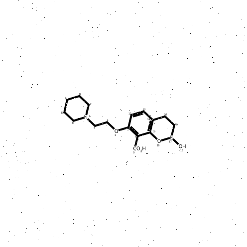 O=C(O)c1c(OCCN2CCCCC2)ccc2c1OB(O)CC2